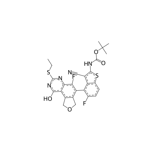 CCSc1nc(O)c2c3c(c(-c4c(F)ccc5sc(NC(=O)OC(C)(C)C)c(C#N)c45)c(F)c2n1)COC3